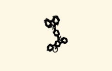 c1ccc2c(c1)oc1cc3c4ccccc4n(-c4ccc(-n5c6ccccc6c6ccccc65)cc4)c3cc12